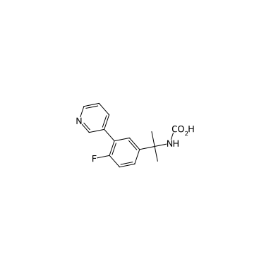 CC(C)(NC(=O)O)c1ccc(F)c(-c2cccnc2)c1